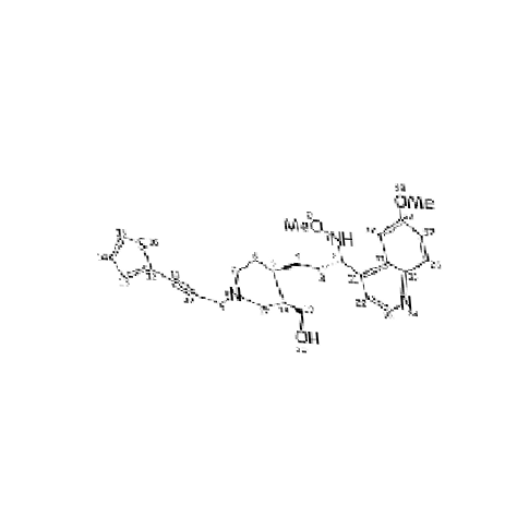 CON[C@@H](CC[C@@H]1CCN(CC#Cc2cccs2)C[C@@H]1CO)c1ccnc2ccc(OC)cc12